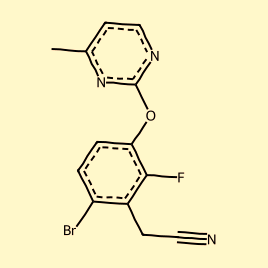 Cc1ccnc(Oc2ccc(Br)c(CC#N)c2F)n1